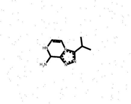 CC(C)c1nnc2n1C=CNC2N